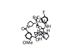 COc1ccc(C(=O)N2CCC(S(C)(=O)=O)C2)cc1C(=O)N[C@H]1[C@@H](C(=O)Nc2ccc(F)c(C(F)(F)F)c2)[C@H]2CC[C@@H]1/C2=C\C1CC1